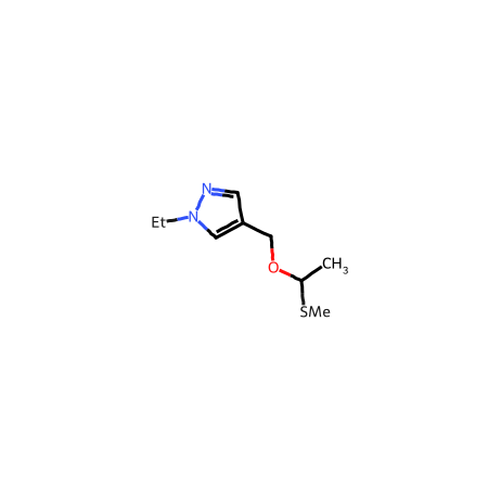 CCn1cc(COC(C)SC)cn1